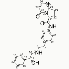 O=C(Nc1ccc(CCNC[C@H](O)c2ccccc2)cc1)[C@@H]1CCc2nccc(=O)n21